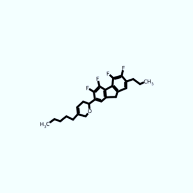 CCCCCC1=CCC(c2cc3c(c(F)c2F)-c2c(cc(CCC)c(F)c2F)C3)OC1